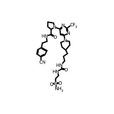 N#Cc1ccc(CCNC(=O)C2CCCN2c2cc(N3CCC(CCCNC(=O)NCCS(N)(=O)=O)CC3)nc(C(F)(F)F)n2)cc1